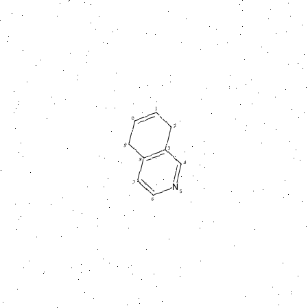 C1=CCc2cnccc2C1